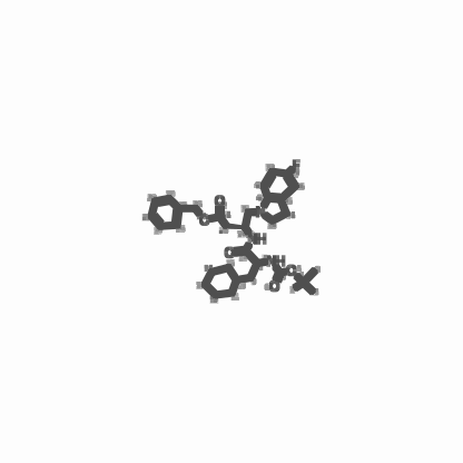 CC(C)(C)OC(=O)NC(CC1CCCCC1)C(=O)N[C@@H](CC(=O)OCc1ccccc1)CN1CCc2cc(F)ccc21